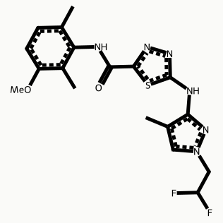 COc1ccc(C)c(NC(=O)c2nnc(Nc3nn(CC(F)F)cc3C)s2)c1C